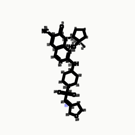 C[C@@]1(O)CCC[C@H]1n1c(=O)c(C#N)cc2cnc(NC3CCN(S(=O)(=O)/C=C4\CCOC4)CC3)nc21